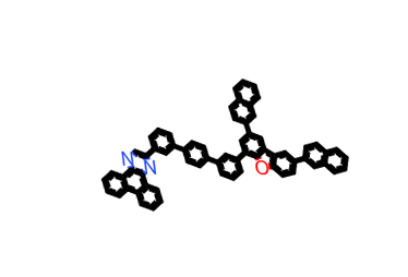 c1cc(-c2ccc(-c3cccc(-c4cc(-c5ccc6ccccc6c5)cc5c4oc4ccc(-c6ccc7ccccc7c6)cc45)c3)cc2)cc(-c2cnc3c4ccccc4c4ccccc4c3n2)c1